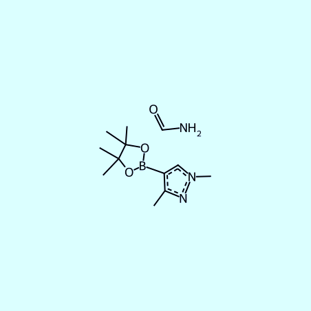 Cc1nn(C)cc1B1OC(C)(C)C(C)(C)O1.NC=O